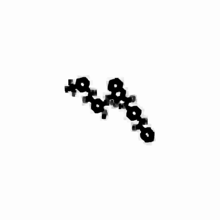 COc1ccc(C(=O)Nc2cccc(C(F)(F)F)c2)cc1N/N=C1\C(=O)C(C(=O)Nc2ccc(NC(=O)c3ccccc3)cc2)=Cc2ccccc21